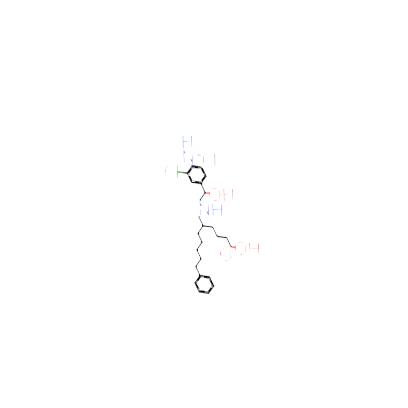 Nc1c(Cl)cc(C(O)CNCC(CCCCCc2ccccc2)CCCC(=O)O)cc1Cl